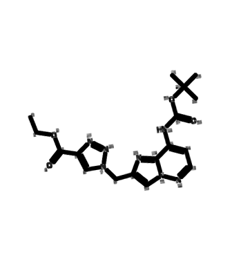 CCOC(=O)c1cn(Cc2cn3nccc(NC(=O)OC(C)(C)C)c3n2)nn1